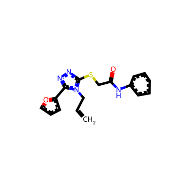 C=CCn1c(SCC(=O)Nc2ccccc2)nnc1-c1ccco1